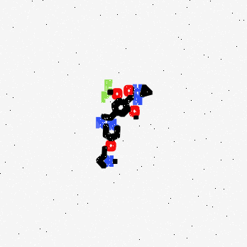 COc1cc(-c2cnc3cc(OCC4CCN4C)ccn23)cc(OC(F)F)c1C(=O)NC1CC1